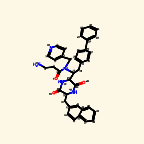 NCCC(=O)N(Cc1ccncc1)C(Cc1ccc(-c2ccccc2)cc1)C1NC(=O)C(Cc2ccc3ccccc3c2)NC1=O